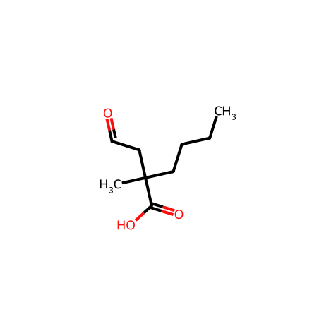 CCCCC(C)(CC=O)C(=O)O